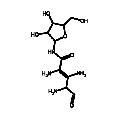 N/C(C(=O)NC1OC(CO)C(O)C1O)=C(/N)C(N)C=O